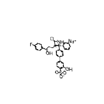 O=C1N[C@@](c2ccccc2)(c2ccc(-c3ccc(S(=O)(=O)[O-])c(O)c3)cc2)[C@H]1CC[C@H](O)c1ccc(F)cc1.[Na+]